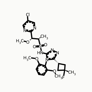 COc1cccc(OC)c1-n1c(NS(=O)(=O)[C@@H](C)[C@H](OC)c2ncc(Cl)cn2)nnc1[C@H]1C[C@@](C)(F)C1